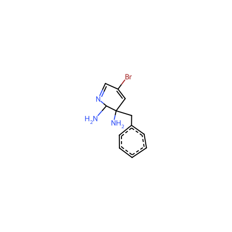 NC1N=CC(Br)=CC1(N)Cc1ccccc1